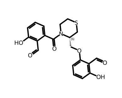 O=Cc1c(O)cccc1OC[C@H]1CSCCN1C(=O)c1cccc(O)c1C=O